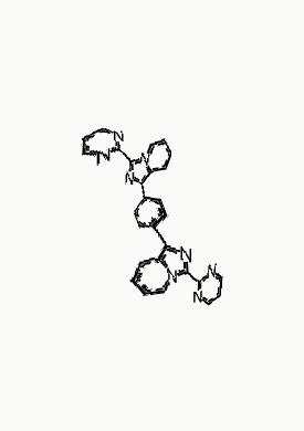 c1cnc(-c2nc(-c3ccc(-c4nc(-c5ncccn5)n5ccccc45)cc3)c3ccccn23)nc1